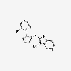 CCn1c(Cn2ccnc2-c2ncccc2F)nc2ccncc21